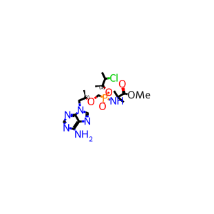 COC(=O)C(C)(C)NP(=O)(CO[C@H](C)Cn1cnc2c(N)ncnc21)O[C@@H](C)C(C)Cl